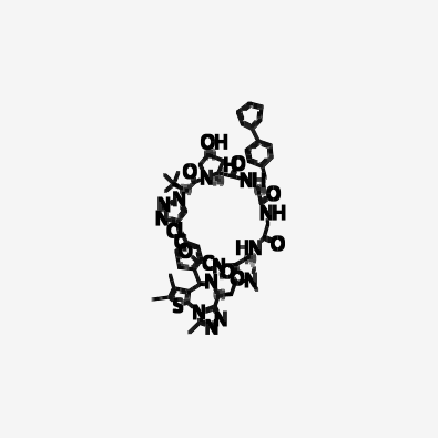 Cc1sc2c(c1C)C(c1ccc(Cl)cc1)=N[C@@H](CC(=O)N(C)C[C@H]1NC(=O)CNC(=O)[C@@H](Cc3ccc(-c4ccccc4)cc3)NC(=O)[C@@H]3C[C@@H](O)CN3C(=O)[C@H](C(C)(C)C)n3cc(nn3)COCCN(C)C1=O)c1nnc(C)n1-2